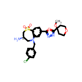 COC1(c2nnc(-c3ccc4c(c3)N(Cc3ccc(Cl)cc3)C[C@@H](N)CS4(=O)=O)o2)CCOCC1